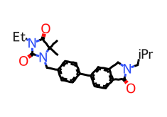 CCN1C(=O)N(Cc2ccc(-c3ccc4c(c3)CN(CC(C)C)C4=O)cc2)C(C)(C)C1=O